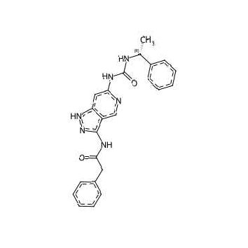 C[C@@H](NC(=O)Nc1cc2[nH]nc(NC(=O)Cc3ccccc3)c2cn1)c1ccccc1